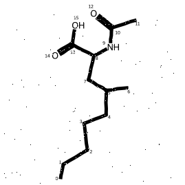 CCCCCC(C)CC(NC(C)=O)C(=O)O